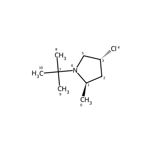 C[C@@H]1C[C@@H](Cl)CN1C(C)(C)C